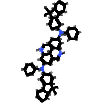 CC1(C)c2ccccc2-c2cc(N(c3ccccc3)c3cc4cnc5cc(N(c6ccccc6)c6ccc7c(c6)-c6ccccc6C7(C)C)cc6cnc(c3)c4c65)ccc21